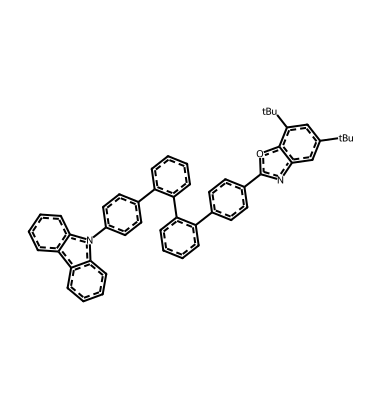 CC(C)(C)c1cc(C(C)(C)C)c2oc(-c3ccc(-c4ccccc4-c4ccccc4-c4ccc(-n5c6ccccc6c6ccccc65)cc4)cc3)nc2c1